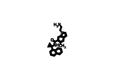 Cc1cc2ccn(CCN)c2cc1C(=O)NC1(c2cccc3ccccc23)CC1